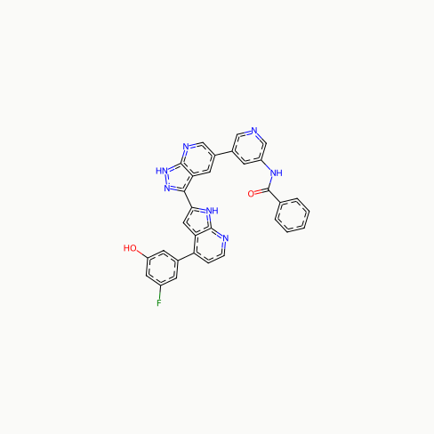 O=C(Nc1cncc(-c2cnc3[nH]nc(-c4cc5c(-c6cc(O)cc(F)c6)ccnc5[nH]4)c3c2)c1)c1ccccc1